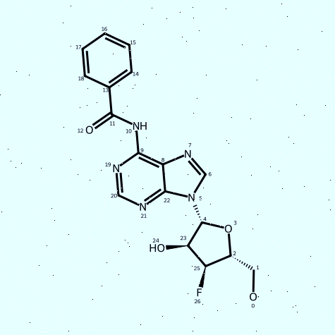 [O]C[C@H]1O[C@@H](n2cnc3c(NC(=O)c4ccccc4)ncnc32)[C@H](O)[C@@H]1F